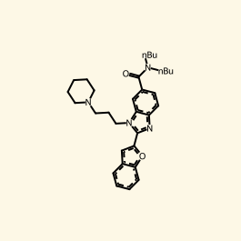 CCCCN(CCCC)C(=O)c1ccc2nc(-c3cc4ccccc4o3)n(CCCN3CCCCC3)c2c1